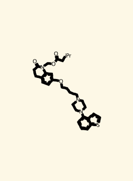 CC(C)CC(=O)OCN1C(=O)CCc2ccc(OCCCCN3CCN(c4cccc5sccc45)CC3)cc21